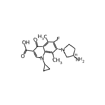 Cc1c(F)c(N2CC[C@@H](N)C2)c(C)c2c1c(=O)c(C(=O)O)cn2C1CC1